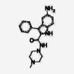 CN1CCN(NC(=O)c2[nH]c3ccc(N)cc3c2-c2ccccc2)CC1